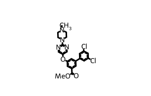 COC(=O)c1cc(Oc2cnc(N3CCN(C)CC3)nc2)cc(-c2cc(Cl)cc(Cl)c2)c1